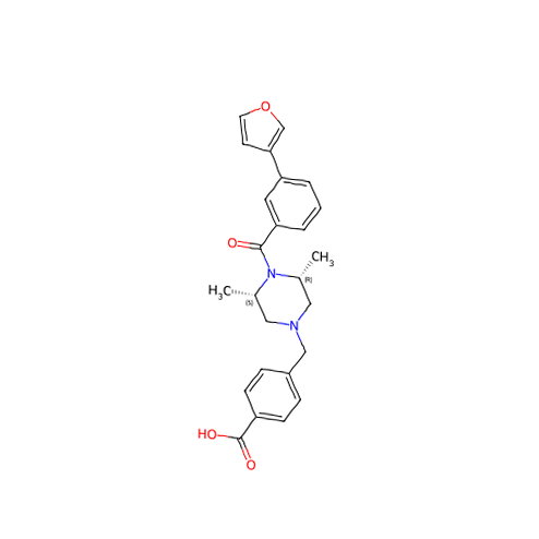 C[C@@H]1CN(Cc2ccc(C(=O)O)cc2)C[C@H](C)N1C(=O)c1cccc(-c2ccoc2)c1